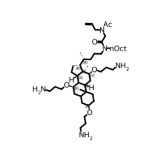 C=CCN(CC(=O)N(CCCCCCCC)CCC[C@@H](C)[C@H]1CC[C@H]2C3[C@H](OCCCN)CC4C[C@H](OCCCN)CCC4(C)[C@H]3C[C@H](OCCCN)[C@]12C)C(C)=O